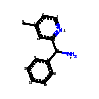 Cc1ccnc(C(N)c2ccccc2)c1